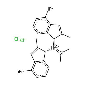 CC1=Cc2c(C(C)C)cccc2[C@@H]1[Hf+2]([C@H]1C(C)=Cc2c(C(C)C)cccc21)=[Si](C)C.[Cl-].[Cl-]